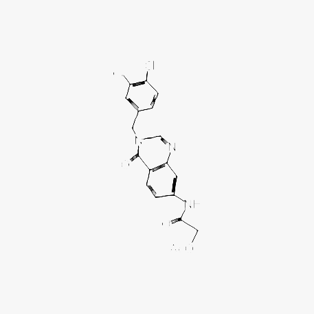 CC(=O)OCC(=O)Nc1ccc2c(=O)n(Cc3ccc(Cl)c(Cl)c3)cnc2c1